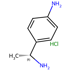 C[C@@H](N)c1ccc(N)cc1.Cl